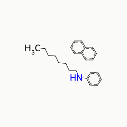 CCCCCCCCNc1ccccc1.c1ccc2ccccc2c1